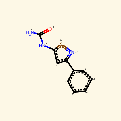 NC(=O)Nc1cc(-c2ccccc2)ns1